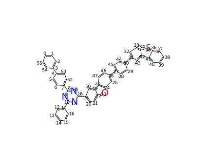 c1ccc(-c2ccc(-c3nc(-c4ccccc4)nc(-c4ccc5oc6cc(-c7ccc(-c8ccc9sc%10ccccc%10c9c8)cc7)ccc6c5c4)n3)cc2)cc1